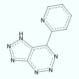 c1ccc(-c2nnnc3nn[nH]c23)nc1